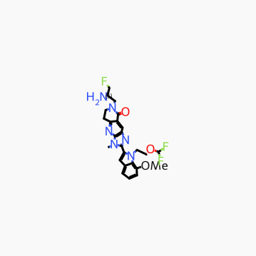 COc1cccc2cc(-c3nc4cc5c(nc4n3C)CCN(C[C@H](N)CF)C5=O)n(CCOC(F)F)c12